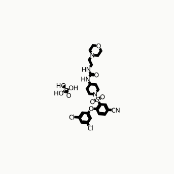 N#Cc1ccc(Oc2cc(Cl)cc(Cl)c2)c(S(=O)(=O)N2CCC(NC(=O)NCCN3CCOCC3)CC2)c1.O=P(O)(O)O